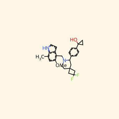 COc1cc(C)c2[nH]ccc2c1CN1CCC2(CC1c1ccc(C3(O)CC3)cc1)CC(F)(F)C2